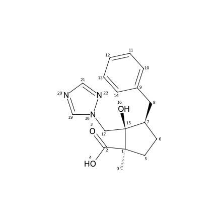 C[C@@]1(C(=O)O)CC[C@H](Cc2ccccc2)[C@@]1(O)Cn1cncn1